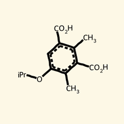 Cc1c(OC(C)C)cc(C(=O)O)c(C)c1C(=O)O